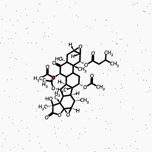 CC(=O)O[C@H]1CC2C([C@@H]3[C@@H](OC(C)=O)C4[C@H]([C@H](C)[C@H]5O[C@]56OC(=O)[C@@](C)(O)[C@]46C)[C@@]13C)[C@@H](OC(C)=O)C(=O)[C@@]1(O)C[C@@H]3O[C@@H]3[C@H](OC(=O)CC(C)C)[C@]21C